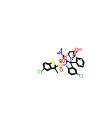 COc1ccccc1C1(N2C[C@H](O)C[C@H]2C(=O)N(C)C)C(=O)N(S(=O)(=O)c2sc3ccc(Cl)cc3c2C)c2ccc(Cl)cc21